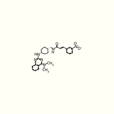 CN(C)c1nc(N[C@H]2CC[C@@H](CNC(=O)/C=C/c3cccc([N+](=O)[O-])c3)CC2)nc2ccccc12